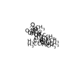 CC[C@H](C)[C@@H]([C@@H](CC(=O)N1CCC[C@H]1C(OC)[C@@H](C)C(=O)N[C@@H](Cc1ccccc1F)C(=O)O)OC)N(C)C(=O)[C@@H](NC(=O)[C@@H](NC)C(C)C)C(C)C